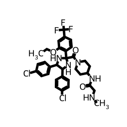 CCOc1cc(C(F)(F)F)ccc1C1(C(=O)N2CCC(NC(=O)CNC)CC2)NC(c2ccc(Cl)cc2)C(c2ccc(Cl)cc2)N1